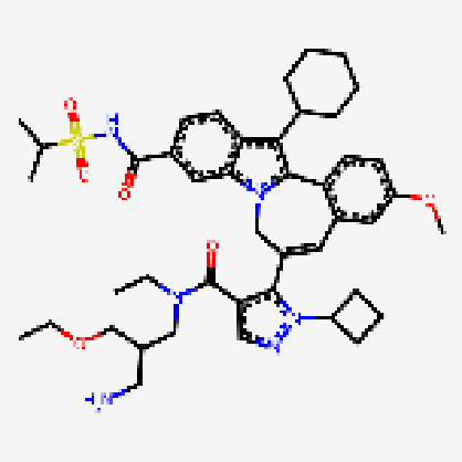 CCOCC(CN)CN(CC)C(=O)c1cnn(C2CCC2)c1C1=Cc2cc(OC)ccc2-c2c(C3CCCCC3)c3ccc(C(=O)NS(=O)(=O)C(C)C)cc3n2C1